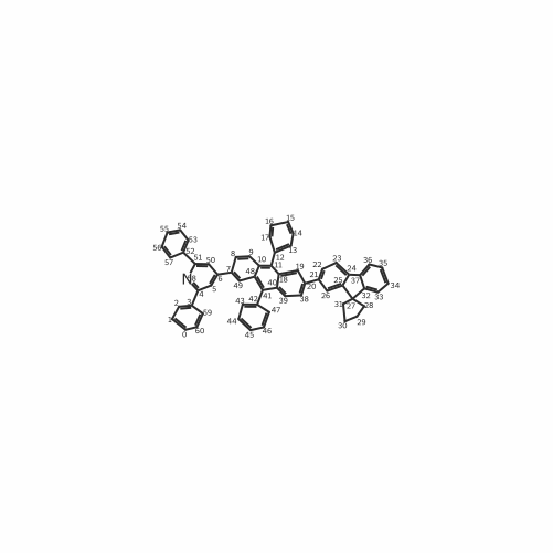 c1ccc(-c2cc(-c3ccc4c(-c5ccccc5)c5cc(-c6ccc7c(c6)C6(CCCC6)c6ccccc6-7)ccc5c(-c5ccccc5)c4c3)cc(-c3ccccc3)n2)cc1